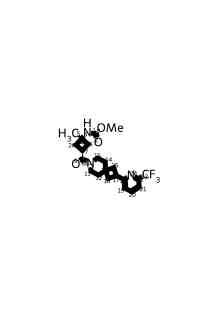 COC(=O)N[C@]1(C)C[C@H](C(=O)N2CCC3(CC2)CC(c2cccc(C(F)(F)F)n2)C3)C1